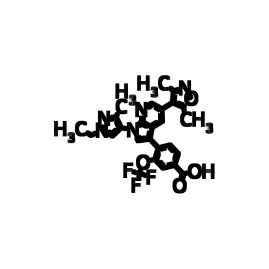 CCn1cc(-n2cc(-c3ccc(C(=O)O)cc3OC(F)(F)F)c3cc(-c4c(C)noc4C)cnc32)c(C)n1